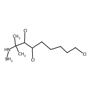 BNC(C)(C)C(Cl)C(Cl)CCCCCCl